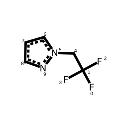 FC(F)(F)Cn1[c]c[c]n1